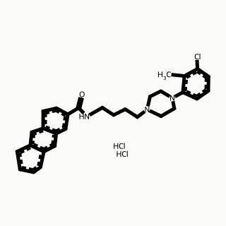 Cc1c(Cl)cccc1N1CCN(CCCCNC(=O)c2ccc3cc4ccccc4cc3c2)CC1.Cl.Cl